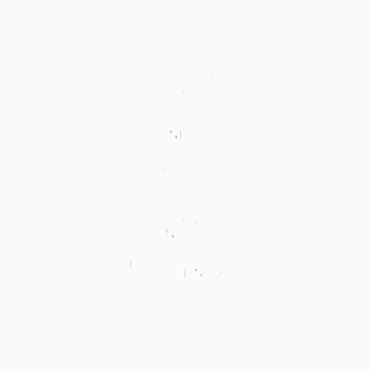 O=C(/C=C/c1ccco1)NCc1cc(Cl)c(C(=O)N[C@@H](CNC(=O)C2CCCC2)C(=O)O)c(Cl)c1